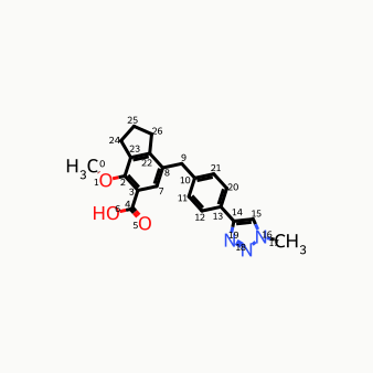 COc1c(C(=O)O)cc(Cc2ccc(-c3cn(C)nn3)cc2)c2c1CCC2